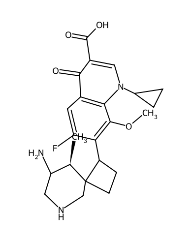 COc1c(C2CCC23CNCC(N)[C@H]3C)c(F)cc2c(=O)c(C(=O)O)cn(C3CC3)c12